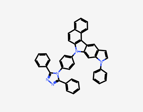 c1ccc(-c2nnc(-c3ccccc3)n2-c2ccc(-n3c4cc5c(ccn5-c5ccccc5)cc4c4c5ccccc5ccc43)cc2)cc1